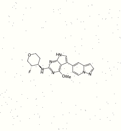 COc1nc(N[C@@H]2CCOC[C@H]2F)nc2[nH]cc(-c3ccn4nccc4c3)c12